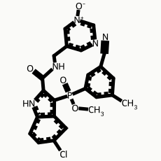 COP(=O)(c1cc(C)cc(C#N)c1)c1c(C(=O)NCc2cnc[n+]([O-])c2)[nH]c2ccc(Cl)cc12